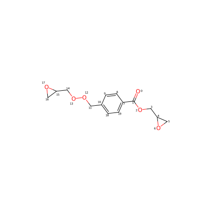 O=C(OCC1CO1)c1ccc(COOCC2CO2)cc1